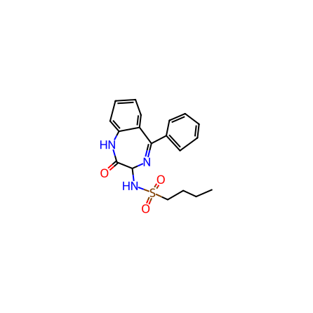 CCCCS(=O)(=O)NC1N=C(c2ccccc2)c2ccccc2NC1=O